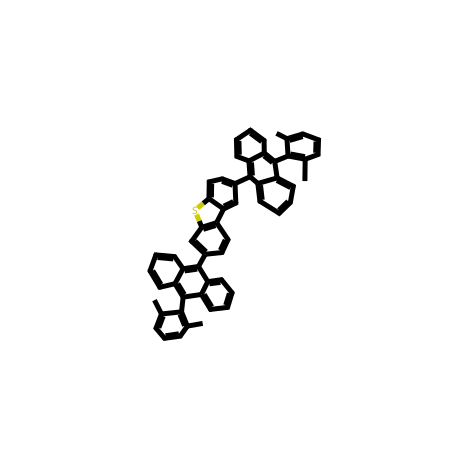 Cc1cccc(C)c1-c1c2ccccc2c(-c2ccc3c(c2)sc2ccc(-c4c5ccccc5c(-c5c(C)cccc5C)c5ccccc45)cc23)c2ccccc12